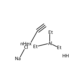 C#CCCCCCC.C[CH2][Al]([CH2]C)[CH2]C.[HH].[Na][Cl]